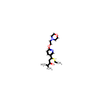 CCSC(CC(=O)C(C)C)c1ccc(OCCN2CCOCC2)nc1